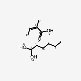 CC=C(C)C(=O)O.CCCCCC(O)O